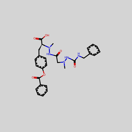 CN(CC(=O)NN(C)[C@@H](Cc1ccc(OC(=O)c2ccccc2)cc1)C(=O)O)NC(=O)NCc1ccccc1